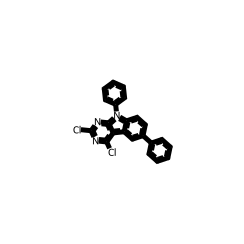 Clc1nc(Cl)c2c3cc(-c4ccccc4)ccc3n(-c3ccccc3)c2n1